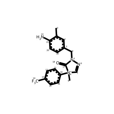 Cc1cc(CN2N=C[N+](C)(c3ccc(C(F)(F)F)cc3)C2=O)ccc1N